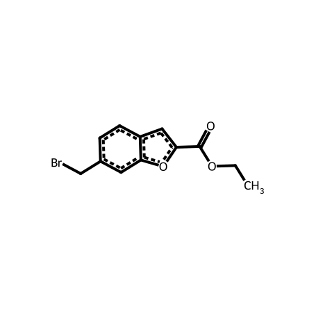 CCOC(=O)c1cc2ccc(CBr)cc2o1